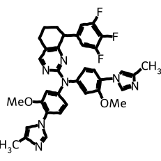 COc1cc(N(c2ccc(-n3cnc(C)c3)c(OC)c2)c2ncc3c(n2)C(c2cc(F)c(F)c(F)c2)CCC3)ccc1-n1cnc(C)c1